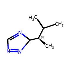 CC(C)[C@@H](C)C1N=CN=N1